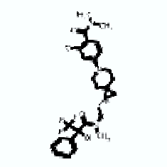 CN(C)C(=O)c1ccc(N2CCC3(CC2)C[C@@H]3CCN(C)C(=O)C(O)(c2ccccc2)C(F)(F)F)cc1Cl